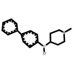 CN1CCC([S+]([O-])c2ccc(-c3ccccc3)cc2)CC1